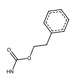 [NH]C(=O)OCCc1ccccc1